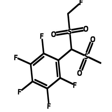 CS(=O)(=O)C(c1c(F)c(F)c(F)c(F)c1F)S(=O)(=O)CF